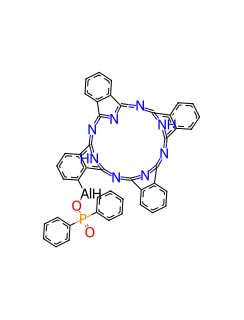 O=P([O][AlH][c]1cccc2c3nc4nc(nc5[nH]c(nc6nc(nc([nH]3)c12)-c1ccccc1-6)c1ccccc51)-c1ccccc1-4)(c1ccccc1)c1ccccc1